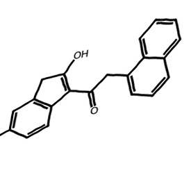 COc1ccc2c(c1)CC(O)=C2C(=O)Cc1cccc2ccccc12